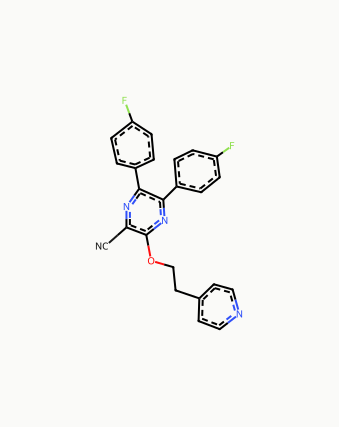 N#Cc1nc(-c2ccc(F)cc2)c(-c2ccc(F)cc2)nc1OCCc1ccncc1